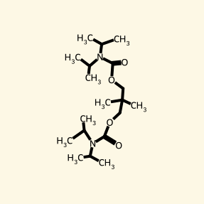 CC(C)N(C(=O)OCC(C)(C)COC(=O)N(C(C)C)C(C)C)C(C)C